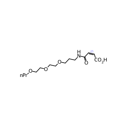 CCCOCCOCCOCCCNC(=O)/C=C\C(=O)O